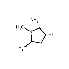 CC1CCCN1C.I.N